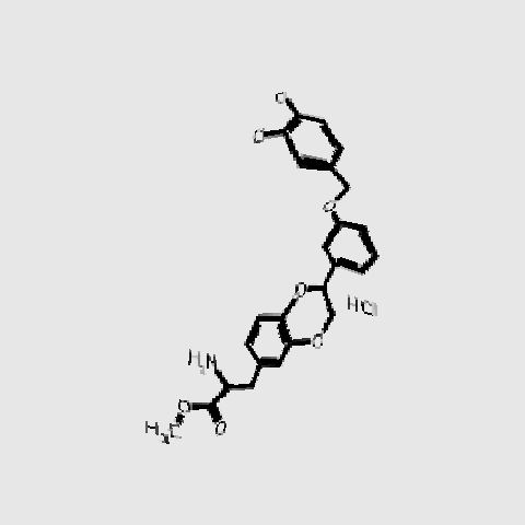 COC(=O)C(N)Cc1ccc2c(c1)OCC(c1cccc(OCc3ccc(Cl)c(Cl)c3)c1)O2.Cl